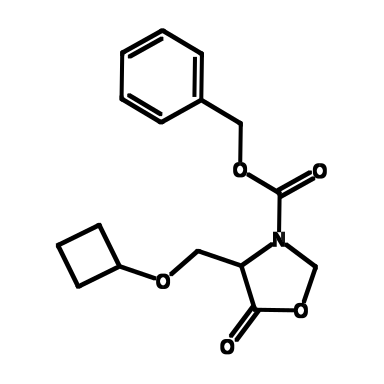 O=C1OCN(C(=O)OCc2ccccc2)C1COC1CCC1